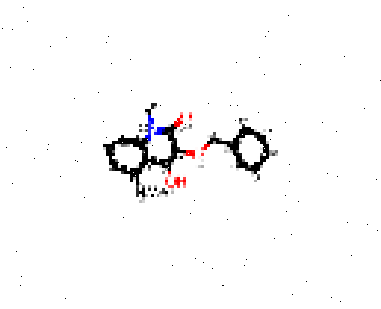 CNc1cccc2c1c(O)c(OCc1ccccc1)c(=O)n2C